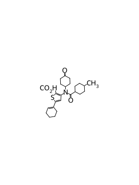 CC1CCC(C(=O)N(c2cc(C3=CCCCC3)sc2C(=O)O)C2CCC(=O)CC2)CC1